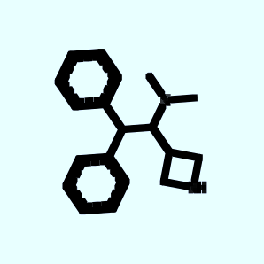 CN(C)C(C1CNC1)C(c1ccccc1)c1ccccc1